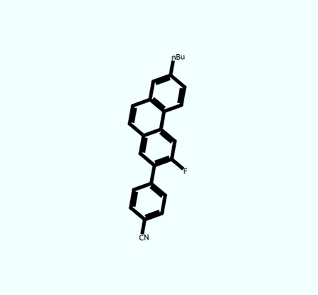 CCCCc1ccc2c(ccc3cc(-c4ccc(C#N)cc4)c(F)cc32)c1